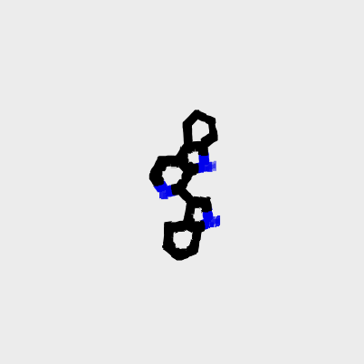 C1=c2[nH]c3c(-c4c[nH]c5ccccc45)nccc3c2=CCC1